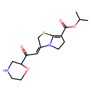 CC(C)OC(=O)C1=C2SCC(=CC(=O)C3CNCCO3)N2CC1